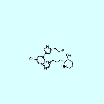 O[C@H]1CCCN[C@@H]1CCCn1cnc2cc(Cl)cc(-c3cnn(CCF)c3)c21